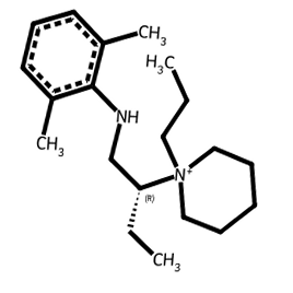 CCC[N+]1([C@H](CC)CNc2c(C)cccc2C)CCCCC1